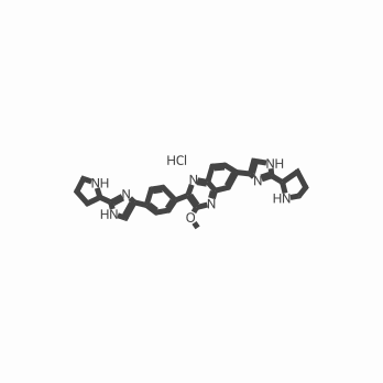 COc1nc2cc(-c3c[nH]c(C4CCCN4)n3)ccc2nc1-c1ccc(-c2c[nH]c(C3CCCN3)n2)cc1.Cl